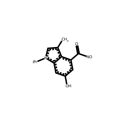 Cc1cn(C(C)C)c2cc(O)cc(C(=O)N=O)c12